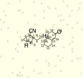 C[C@@H]1[C@H]2CC2[C@H](C#N)[C@@]1(C)CC[C@H]1CCCC2=CC(=O)CC[C@@H]21